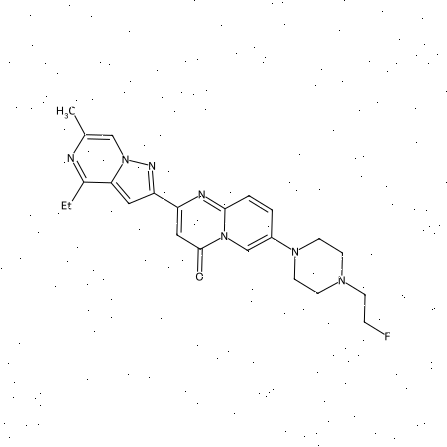 CCc1nc(C)cn2nc(-c3cc(=O)n4cc(N5CCN(CCF)CC5)ccc4n3)cc12